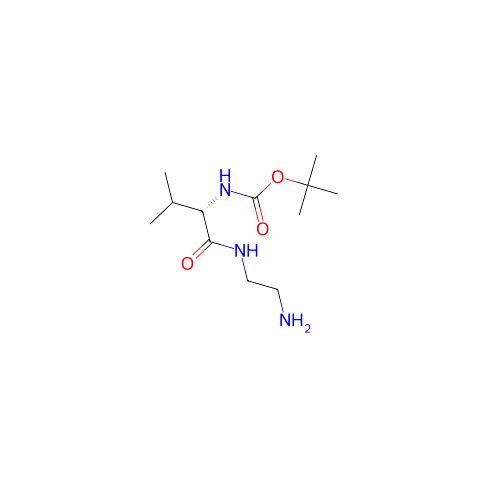 CC(C)[C@H](NC(=O)OC(C)(C)C)C(=O)NCCN